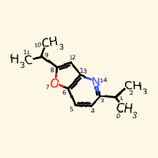 CC(C)c1ccc2oc(C(C)C)cc2n1